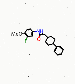 COc1ccc(NC(=O)CC2CCC(c3ccccc3)CC2)cc1F